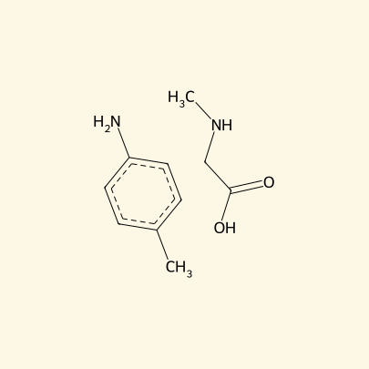 CNCC(=O)O.Cc1ccc(N)cc1